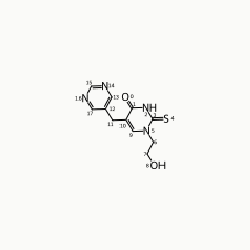 O=c1[nH]c(=S)n(CCO)cc1Cc1cncnc1